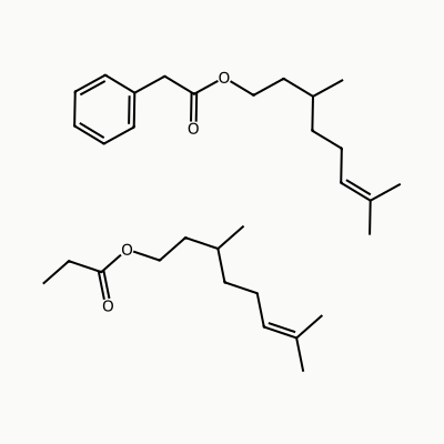 CC(C)=CCCC(C)CCOC(=O)Cc1ccccc1.CCC(=O)OCCC(C)CCC=C(C)C